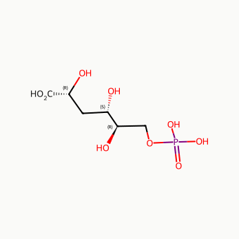 O=C(O)[C@H](O)C[C@H](O)[C@H](O)COP(=O)(O)O